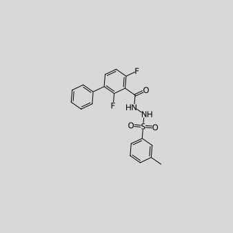 Cc1cccc(S(=O)(=O)NNC(=O)c2c(F)ccc(-c3ccccc3)c2F)c1